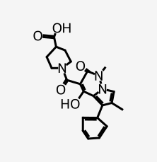 Cc1cn2c(c(O)c(C(=O)N3CCC(C(=O)O)CC3)c(=O)n2C)c1-c1ccccc1